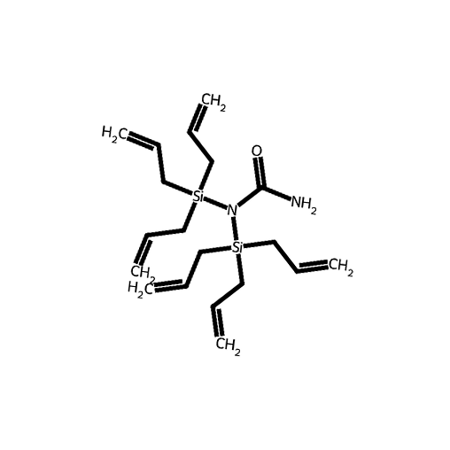 C=CC[Si](CC=C)(CC=C)N(C(N)=O)[Si](CC=C)(CC=C)CC=C